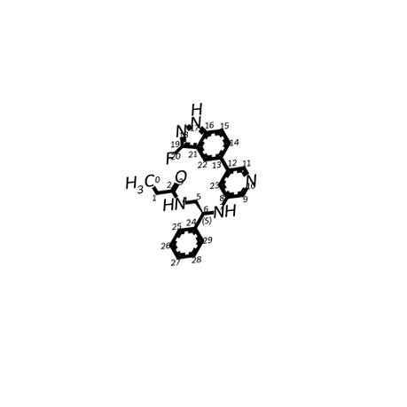 CCC(=O)NC[C@@H](Nc1cncc(-c2ccc3[nH]nc(F)c3c2)c1)c1ccccc1